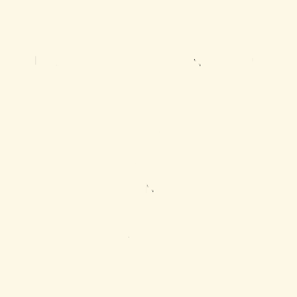 CCCCc1cc(N=C=O)ccc1CN=C=O